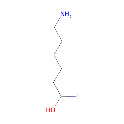 NCCCCCC(O)I